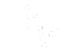 COc1ccc(C(Cc2c(Cl)c[n+]([O-])cc2Cl)[C@]2(C(=O)O)CCCN2S(=O)(=O)c2ccc(COc3cccc([C@@H](NC(=O)O[C@H]4CN5CCC4CC5)c4ccccc4)c3)cc2)cc1OC